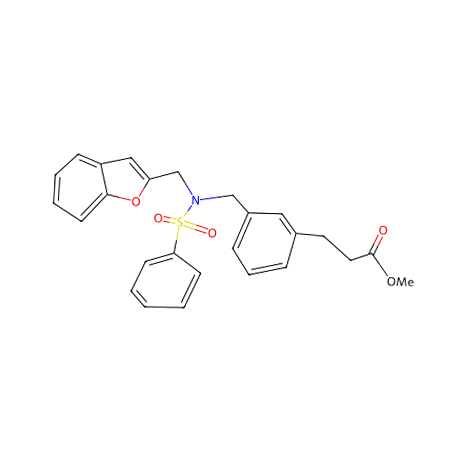 COC(=O)CCc1cccc(CN(Cc2cc3ccccc3o2)S(=O)(=O)c2ccccc2)c1